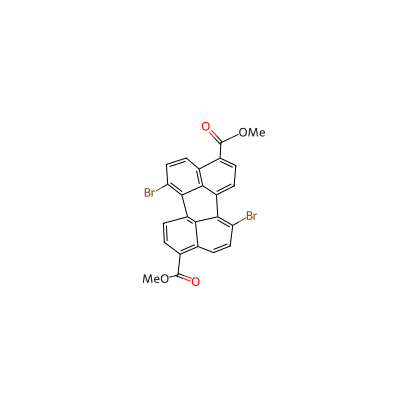 COC(=O)c1ccc2c3c(Br)ccc4c(C(=O)OC)ccc(c5c(Br)ccc1c25)c43